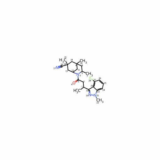 CC(CC(=O)N1C(C)CC2(C)CC1CC(C)(C#N)C2)c1nn(C)c2cccc(F)c12